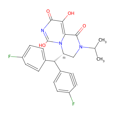 CC(C)N1C[C@H](C(c2c#cc(F)cc2)c2ccc(F)cc2)n2c(O)nc(=O)c(O)c2C1=O